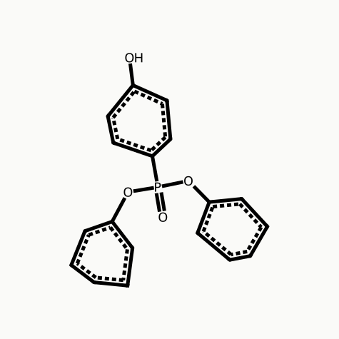 O=P(Oc1ccccc1)(Oc1ccccc1)c1ccc(O)cc1